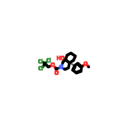 COc1cccc([C@@]23CCCC[C@@]2(O)CN(C(=O)OCC(Cl)(Cl)Cl)CC3)c1